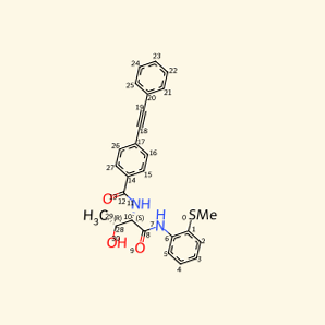 CSc1ccccc1NC(=O)[C@@H](NC(=O)c1ccc(C#Cc2ccccc2)cc1)[C@@H](C)O